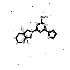 CNc1nc(-c2cccs2)cc(N2C[C@@H]3CCCN[C@@H]3C2)n1